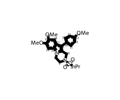 CCCS(=O)(=O)N1CCn2c(c(-c3ccc(OC)cc3)c3cc(OC)c(OC)cc32)C1